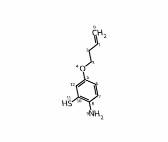 C=CCCOc1ccc(N)c(S)c1